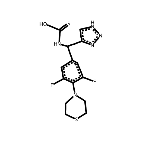 OC(=S)NC(c1cc(F)c(N2CCSCC2)c(F)c1)c1c[nH]nn1